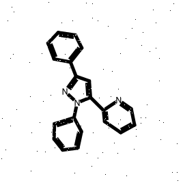 c1ccc(-c2cc(-c3ccccn3)n(-c3ccccc3)n2)cc1